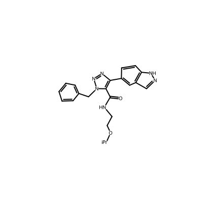 CC(C)OCCNC(=O)c1c(-c2ccc3[nH]ncc3c2)nnn1Cc1ccccc1